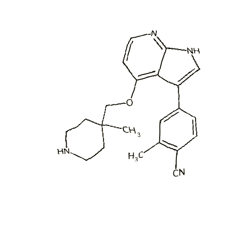 Cc1cc(-c2c[nH]c3nccc(OCC4(C)CCNCC4)c23)ccc1C#N